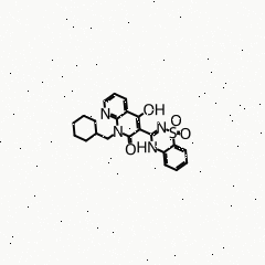 O=c1c(C2=NS(=O)(=O)c3ccccc3N2)c(O)c2cccnc2n1CC1CCCCC1